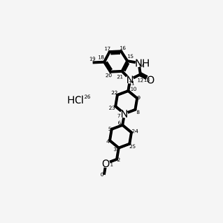 COCC1CCC(N2CCC(n3c(=O)[nH]c4ccc(C)cc43)CC2)CC1.Cl